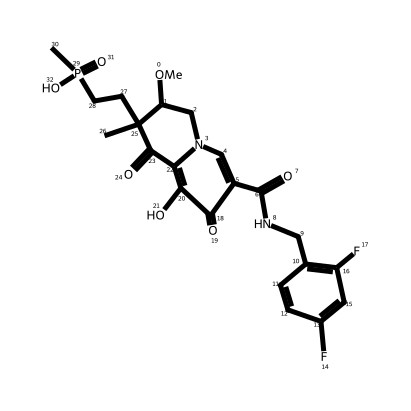 COC1Cn2cc(C(=O)NCc3ccc(F)cc3F)c(=O)c(O)c2C(=O)C1(C)CCP(C)(=O)O